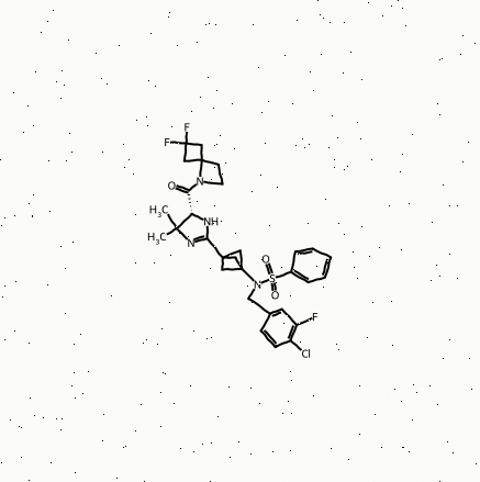 CC1(C)N=C(C23CC(N(Cc4ccc(Cl)c(F)c4)S(=O)(=O)c4ccccc4)(C2)C3)N[C@H]1C(=O)N1CCC12CC(F)(F)C2